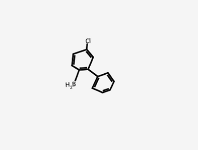 Bc1ccc(Cl)cc1-c1ccccc1